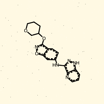 c1cnc2c(Nc3ccc4c(OC5CCCOC5)noc4c3)n[nH]c2c1